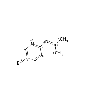 CS(C)=Nc1ccc(Br)cn1